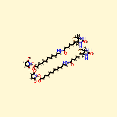 O=C(CCCCC1SC[C@@H]2NC(=O)N[C@H]12)NCCCCCCCCCCCC(=O)ON1C(=O)CCC1=O.O=C(CCCC[C@@H]1SC[C@@H]2NC(=O)N[C@@H]21)NCCCCCCCCCCCC(=O)ON1C(=O)CCC1=O